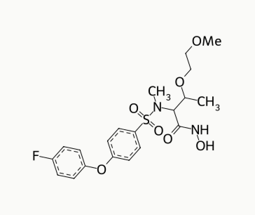 COCCOC(C)C(C(=O)NO)N(C)S(=O)(=O)c1ccc(Oc2ccc(F)cc2)cc1